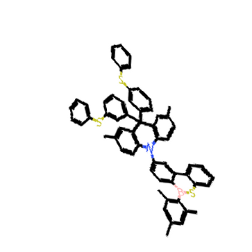 Cc1cc(C)c(B2Sc3ccccc3-c3cc(N4c5ccc(C)cc5C(c5cccc(Sc6ccccc6)c5)(c5cccc(Sc6ccccc6)c5)c5cc(C)ccc54)ccc32)c(C)c1